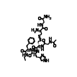 CCNC(=O)[C@@H](Cc1ccccc1)NC(=O)[C@H](Cc1c[nH]cn1)NC(=O)[C@H](CSSC[C@H](N)C(=O)NCC(N)=O)NC(=O)CNC(C)=O